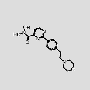 O=C(c1ccnc(-c2ccc(CCN3CCOCC3)cc2)n1)N(O)O